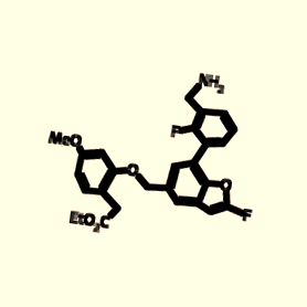 CCOC(=O)Cc1ccc(OC)cc1OCc1cc(-c2cccc(CN)c2F)c2oc(F)cc2c1